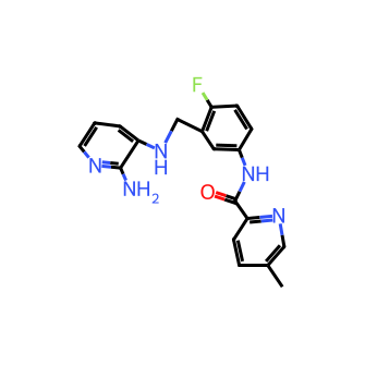 Cc1ccc(C(=O)Nc2ccc(F)c(CNc3cccnc3N)c2)nc1